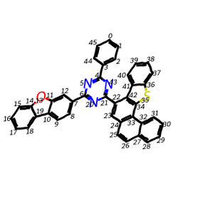 c1ccc(-c2nc(-c3ccc4c(c3)oc3ccccc34)nc(-c3cc4ccc5ccccc5c4c4sc5ccccc5c34)n2)cc1